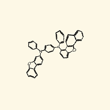 c1ccc(N(c2ccc(N(c3ccccc3)c3cccc4oc5c6ccccc6ccc5c34)cc2)c2ccc3c(c2)oc2ccccc23)cc1